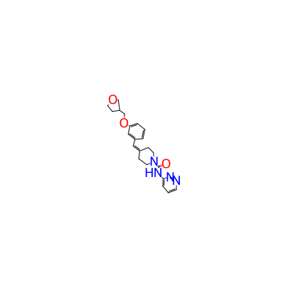 O=C(Nc1cccnn1)N1CCC(=Cc2cccc(OCC3CCOC3)c2)CC1